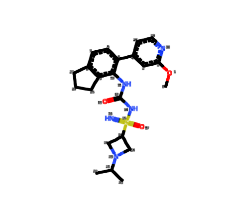 COc1cc(-c2ccc3c(c2NC(=O)NS(=N)(=O)C2CN(C(C)C)C2)CCC3)ccn1